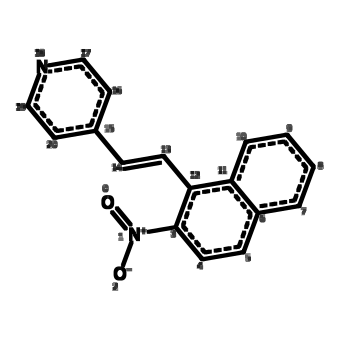 O=[N+]([O-])c1ccc2ccccc2c1C=Cc1ccncc1